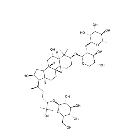 C[C@H](CC[C@H](O[C@@H]1O[C@H](CO)[C@@H](O)[C@H](O)[C@H]1O)C(C)(C)O)[C@H]1[C@@H](O)C[C@@]2(C)[C@@H]3C[C@H](O)[C@H]4C(C)(C)[C@@H](O[C@@H]5OC[C@@H](O)[C@H](O)[C@H]5O[C@@H]5O[C@@H](C)[C@H](O)[C@@H](O)[C@H]5O)CC[C@@]45C[C@@]35CC[C@]12C